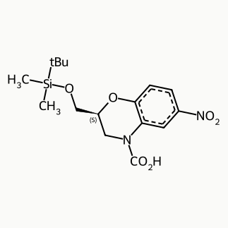 CC(C)(C)[Si](C)(C)OC[C@@H]1CN(C(=O)O)c2cc([N+](=O)[O-])ccc2O1